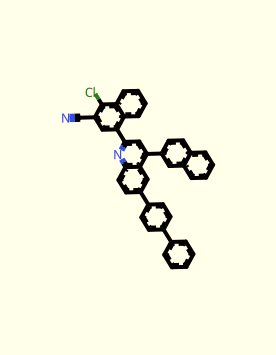 N#Cc1cc(-c2cc(-c3ccc4ccccc4c3)c3cc(-c4ccc(-c5ccccc5)cc4)ccc3n2)c2ccccc2c1Cl